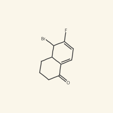 O=C1CCCC2C1=CC=C(F)C2Br